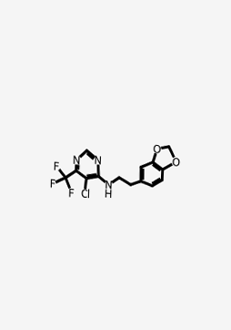 FC(F)(F)c1ncnc(NCCc2ccc3c(c2)OCO3)c1Cl